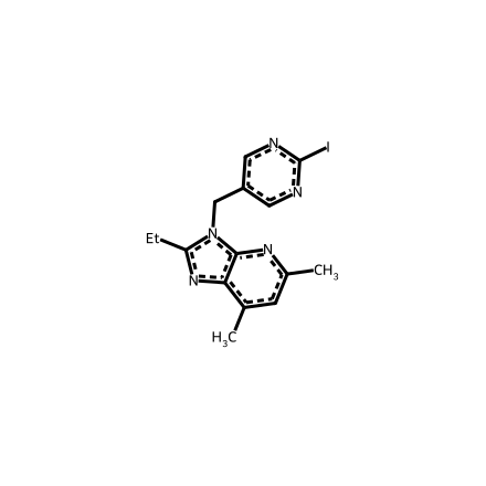 CCc1nc2c(C)cc(C)nc2n1Cc1cnc(I)nc1